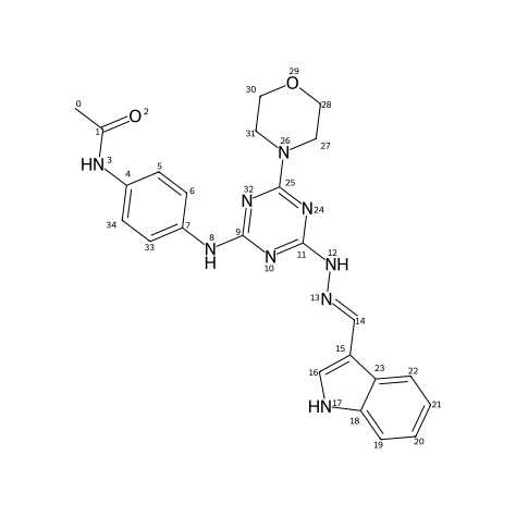 CC(=O)Nc1ccc(Nc2nc(NN=Cc3c[nH]c4ccccc34)nc(N3CCOCC3)n2)cc1